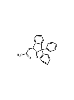 CC(=O)OC1C(=O)C(c2ccccc2)(c2ccccc2)c2ccccc21